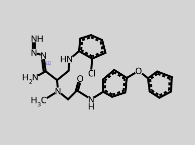 CN(CC(=O)Nc1ccc(Oc2ccccc2)cc1)C(CNc1ccccc1Cl)/C(N)=N/N=N